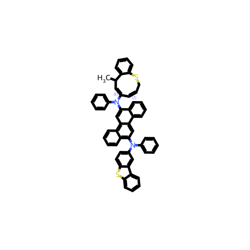 CC1/C=C(N(c2ccccc2)c2cc3c4ccccc4c(N(c4ccccc4)c4ccc5sc6ccccc6c5c4)cc3c3ccccc23)\C=C/CSc2ccccc21